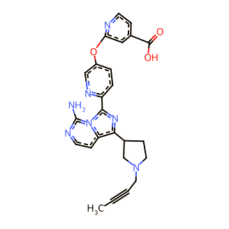 CC#CCN1CCC(c2nc(-c3ccc(Oc4cc(C(=O)O)ccn4)cn3)n3c(N)nccc23)C1